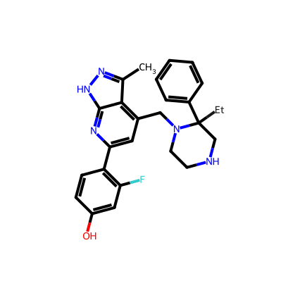 CCC1(c2ccccc2)CNCCN1Cc1cc(-c2ccc(O)cc2F)nc2[nH]nc(C)c12